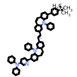 C[Si](C)(C)c1ccc(-c2ccc3c(c2)N(c2ccccc2)c2cc(/C=C/c4ccc5c(c4)N(c4ccccc4)c4cc(-c6ccc(N(c7ccccc7)c7ccccc7)cn6)ccc4C=C5)ccc2C=C3)cc1